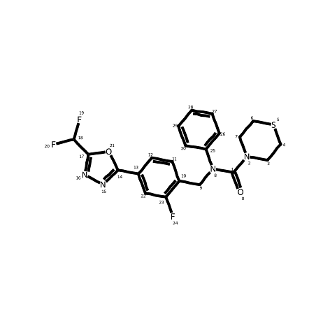 O=C(N1CCSCC1)N(Cc1ccc(-c2nnc(C(F)F)o2)cc1F)c1ccccc1